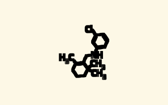 CC1=C(CNc2cccc(Cl)c2)C(C)(C)CCC1